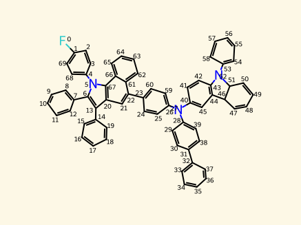 Fc1ccc(-n2c(-c3ccccc3)c(-c3ccccc3)c3cc(-c4ccc(N(c5ccc(-c6ccccc6)cc5)c5ccc6c(c5)C5C=CC=CC5N6c5ccccc5)cc4)c4ccccc4c32)cc1